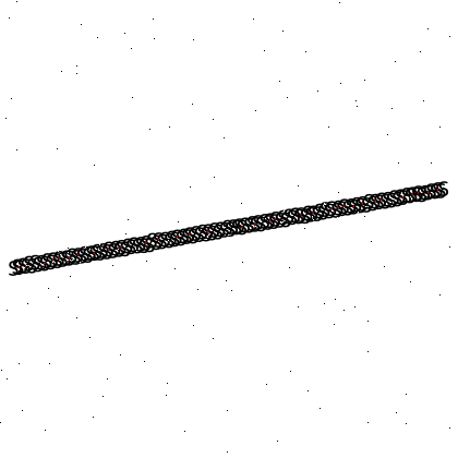 S=S=S=S=S=S=S=S=S=S=S=S=S=S=S=S=S=S=S=S=S=S=S=S=S=S=S=S=S=S=S=S=S=S=S=S=S=S=S=S=S=S=S=S=S=S=S=S=S=S=S=S=S=S=S=S=S=S=S=S=S=S=S=S=S=S=S=S=S=S=S=S=S=S=S=S=S=S=S=S=S=S=S=S=S=S=S=S=S=S=S=S=S=S=S=S=S=S=S=S=S=S=S=S=S=S=S=S=S=S=S=S=S=S=S=S=S=S=S=S=S=S=S=S=S=S=S=S=S=S=S=S=S=S=S=S=S=S=S=S